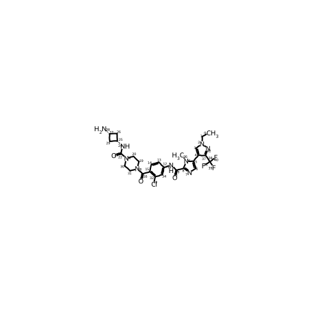 CCn1cc(-c2cnc(C(=O)Nc3ccc(C(=O)N4CCN(C(=O)N[C@H]5C[C@@H](N)C5)CC4)c(Cl)c3)n2C)c(C(F)(F)F)n1